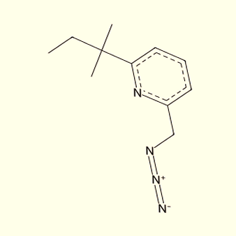 CCC(C)(C)c1cccc(CN=[N+]=[N-])n1